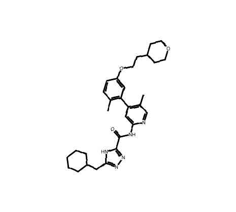 Cc1ccc(OCCC2CCOCC2)cc1-c1cc(NC(=O)c2nnc(CC3CCCCC3)[nH]2)ncc1C